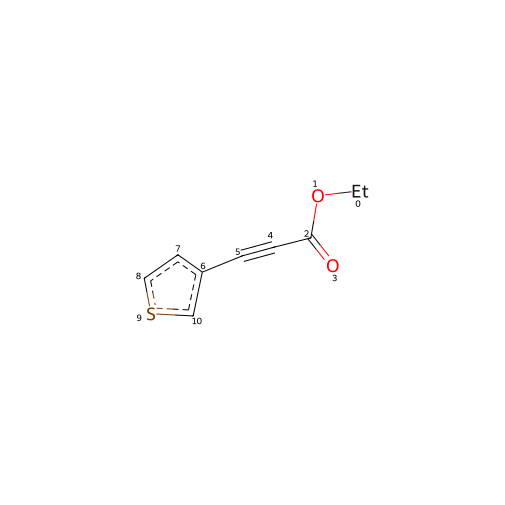 CCOC(=O)C#Cc1ccsc1